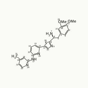 COc1ccc(C[C@H](N)c2ncc(-c3cccc(Nc4cc(C)ccn4)n3)s2)cc1OC